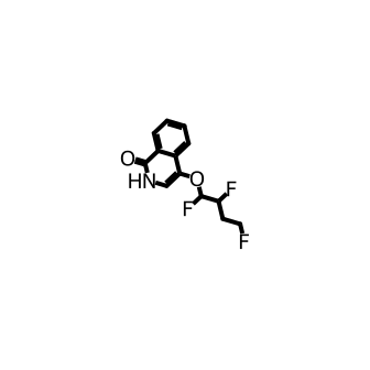 O=c1[nH]cc(OC(F)C(F)CCF)c2ccccc12